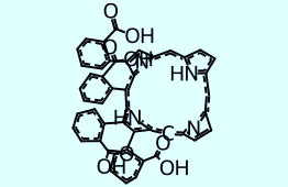 O=C(O)c1ccccc1C1=Cc2cc3ccc(cc4nc(cc5[nH]c(c(-c6ccccc6C(=O)O)c1n2)c(-c1ccccc1C(=O)O)c5-c1ccccc1C(=O)O)C=C4)[nH]3